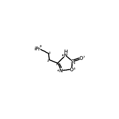 CC(C)CCC1=NOS(=O)N1